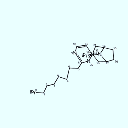 CC(C)CCCCCCCc1nccc(N2C3CCC2CN(C(C)C)C3)n1